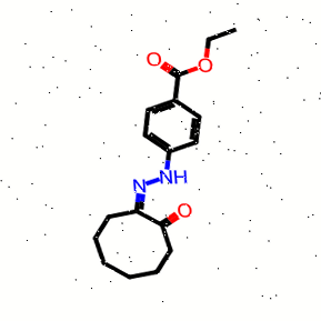 CCOC(=O)c1ccc(NN=C2CCCCCCC2=O)cc1